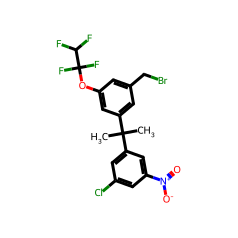 CC(C)(c1cc(CBr)cc(OC(F)(F)C(F)F)c1)c1cc(Cl)cc([N+](=O)[O-])c1